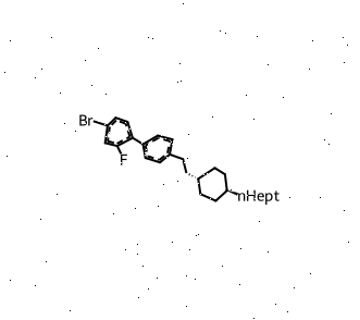 CCCCCCC[C@H]1CC[C@H](CCc2ccc(-c3ccc(Br)cc3F)cc2)CC1